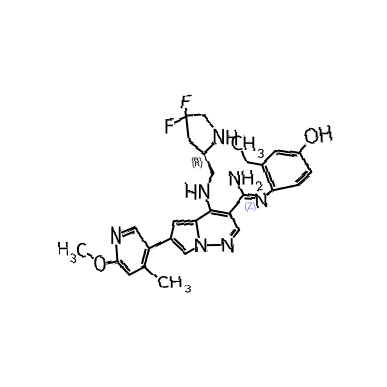 CCc1cc(O)ccc1/N=C(\N)c1cnn2cc(-c3cnc(OC)cc3C)cc2c1NC[C@H]1CC(F)(F)CN1